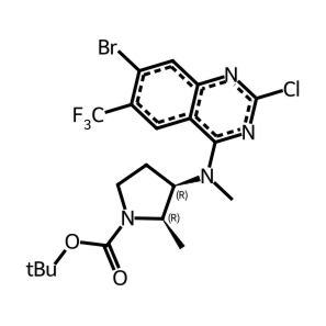 C[C@@H]1[C@H](N(C)c2nc(Cl)nc3cc(Br)c(C(F)(F)F)cc23)CCN1C(=O)OC(C)(C)C